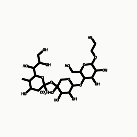 CC1C(O)CC(OC2(O)COC(OC3C(CO)OC(OCCS)C(O)C3O)C(O)C2O)(C(=O)O)OC1C(O)C(O)CO